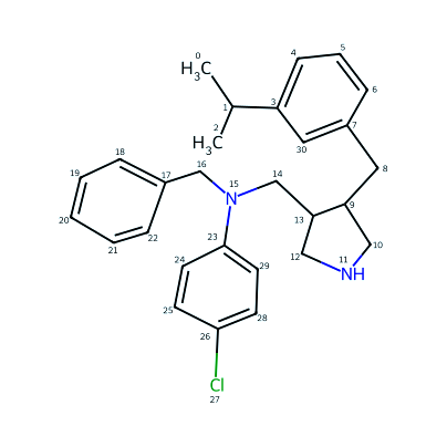 CC(C)c1cccc(CC2CNCC2CN(Cc2ccccc2)c2ccc(Cl)cc2)c1